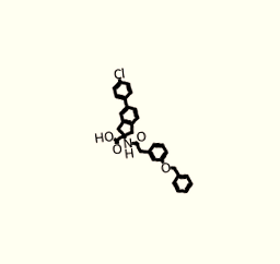 O=C(Cc1cccc(OCc2ccccc2)c1)NC1(C(=O)O)Cc2ccc(-c3ccc(Cl)cc3)cc2C1